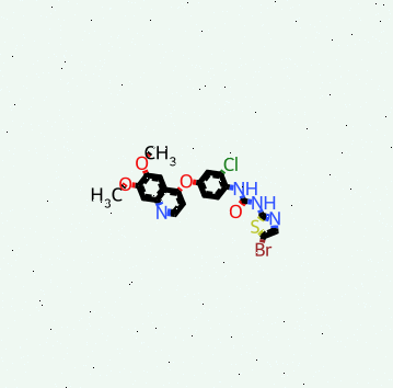 COc1cc2nccc(Oc3ccc(NC(=O)Nc4ncc(Br)s4)c(Cl)c3)c2cc1OC